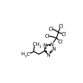 CC(C)Cc1nnn(C(Cl)(Cl)C(Cl)(Cl)Cl)n1